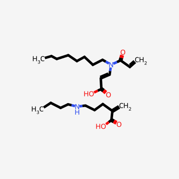 C=C(CCCNCCCC)C(=O)O.C=CC(=O)N(C=CC(=O)O)CCCCCCCC